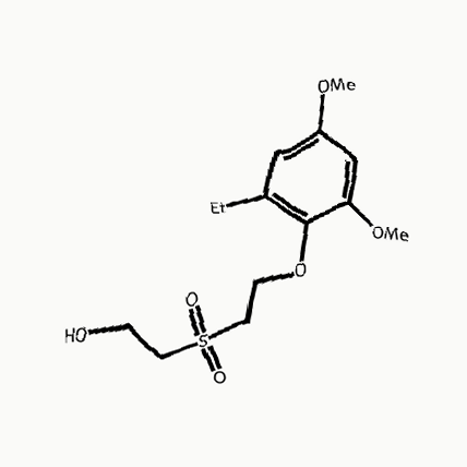 CCc1cc(OC)cc(OC)c1OCCS(=O)(=O)CCO